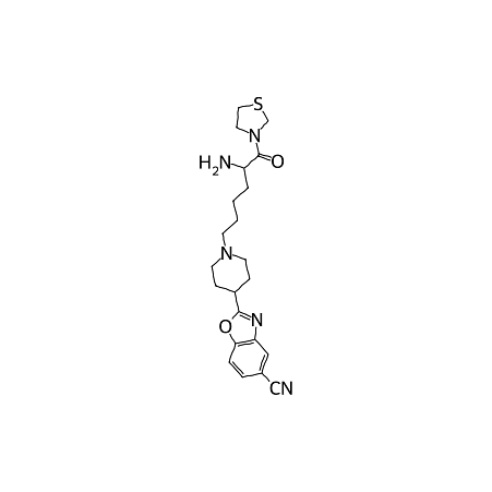 N#Cc1ccc2oc(C3CCN(CCCCC(N)C(=O)N4CCSC4)CC3)nc2c1